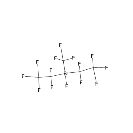 F[B-](C(F)(F)F)(C(F)(F)C(F)(F)F)C(F)(F)C(F)(F)F